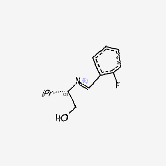 CC(C)[C@@H](CO)/N=C/c1ccccc1F